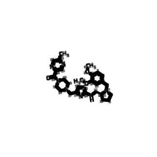 COc1ccc(CN2CCC[C@H]2CNc2nc(CN3CCN(C(=O)c4cnc(C)cn4)CC3)cs2)cc1OC